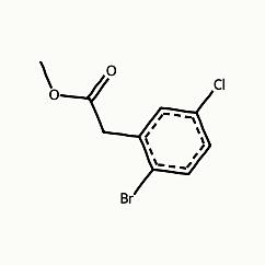 COC(=O)Cc1cc(Cl)ccc1Br